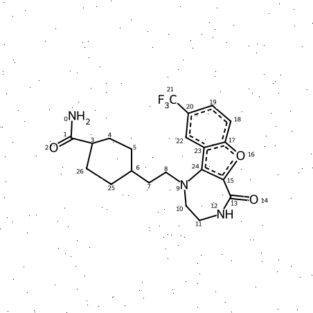 NC(=O)C1CCC(CCN2CCNC(=O)c3oc4ccc(C(F)(F)F)cc4c32)CC1